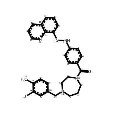 O=C(c1ccc(NSc2cccc3cccnc23)cc1)N1CCCN(Cc2ccc(C(F)(F)F)c(F)c2)CC1